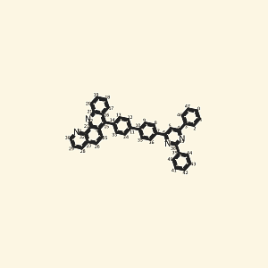 c1ccc(-c2cc(-c3ccc(-c4ccc(-c5c6ccccc6nc6c5ccc5cccnc56)cc4)cc3)nc(-c3ccccc3)n2)cc1